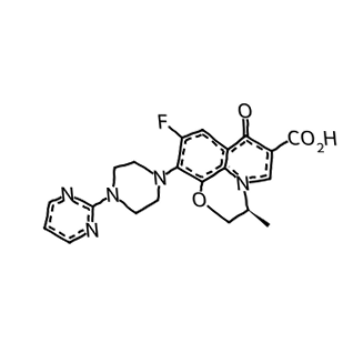 C[C@H]1COc2c(N3CCN(c4ncccn4)CC3)c(F)cc3c(=O)c(C(=O)O)cn1c23